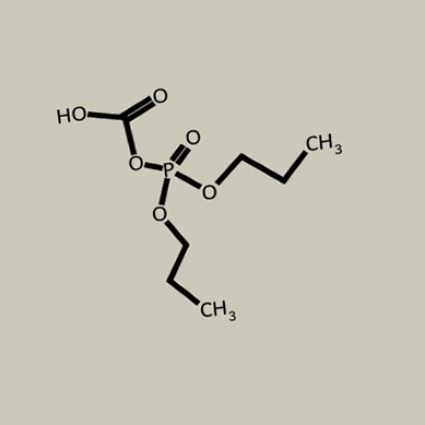 CCCOP(=O)(OCCC)OC(=O)O